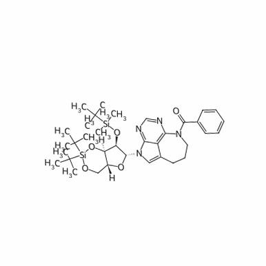 CC(C)(C)[Si](C)(C)O[C@@H]1[C@@H]2O[Si](C(C)(C)C)(C(C)(C)C)OC[C@H]2O[C@H]1n1cc2c3c(ncnc31)N(C(=O)c1ccccc1)CCC2